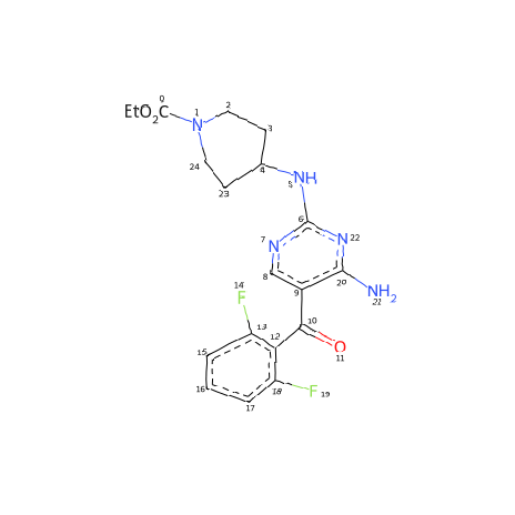 CCOC(=O)N1CCC(Nc2ncc(C(=O)c3c(F)cccc3F)c(N)n2)CC1